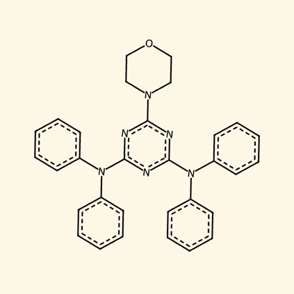 c1ccc(N(c2ccccc2)c2nc(N3CCOCC3)nc(N(c3ccccc3)c3ccccc3)n2)cc1